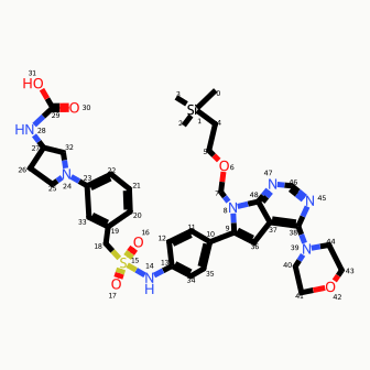 C[Si](C)(C)CCOCn1c(-c2ccc(NS(=O)(=O)Cc3cccc(N4CCC(NC(=O)O)C4)c3)cc2)cc2c(N3CCOCC3)ncnc21